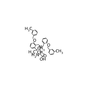 Cc1cccc(COc2ccccc2CN(CC[C@H](N)C(=O)O)Cc2c(OCc3cccc(C)c3)cccc2C(C)(C)C)c1